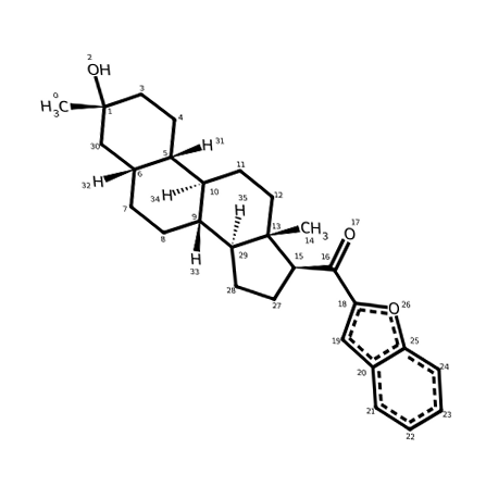 C[C@@]1(O)CC[C@H]2[C@H](CC[C@@H]3[C@@H]2CC[C@]2(C)[C@@H](C(=O)c4cc5ccccc5o4)CC[C@@H]32)C1